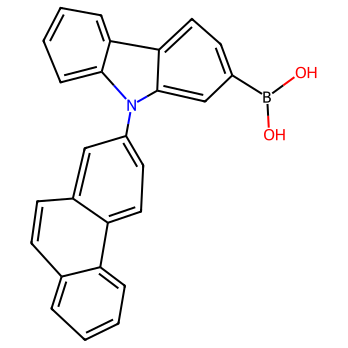 OB(O)c1ccc2c3ccccc3n(-c3ccc4c(ccc5ccccc54)c3)c2c1